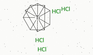 Cl.Cl.Cl.Cl.[CH]12[CH]3[CH]4[CH]5[CH]1[Ti]23451678[CH]2[CH]1[CH]6[CH]7[CH]28